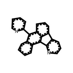 c1ccc(-c2c3ccccc3c3c4c(cccc24)-c2cccnc2-3)nc1